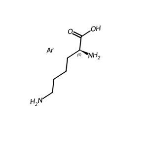 NCCCC[C@H](N)C(=O)O.[Ar]